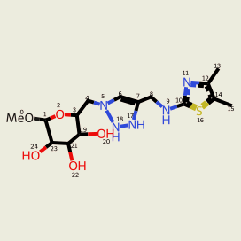 COC1OC(CN2C=C(CNc3nc(C)c(C)s3)NN2)C(O)C(O)C1O